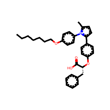 CCCCCCCOc1ccc(-n2c(C)ccc2-c2ccc(O[C@H](Cc3ccccc3)C(=O)O)cc2)cc1